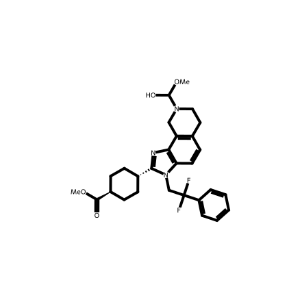 COC(=O)[C@H]1CC[C@H](c2nc3c4c(ccc3n2CC(F)(F)c2ccccc2)CCN(C(O)OC)C4)CC1